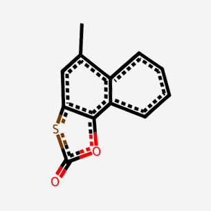 Cc1cc2sc(=O)oc2c2ccccc12